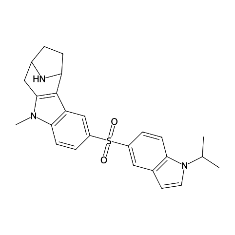 CC(C)n1ccc2cc(S(=O)(=O)c3ccc4c(c3)c3c(n4C)CC4CCC3N4)ccc21